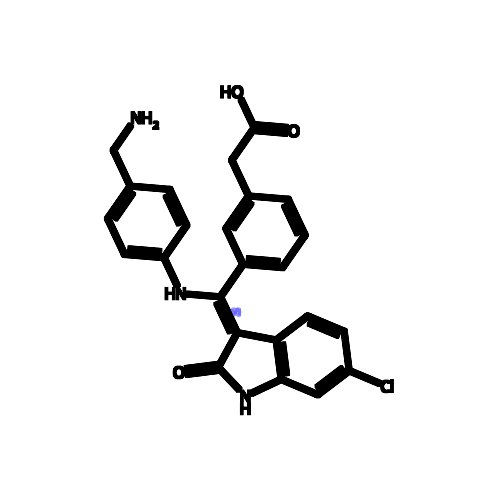 NCc1ccc(N/C(=C2\C(=O)Nc3cc(Cl)ccc32)c2cccc(CC(=O)O)c2)cc1